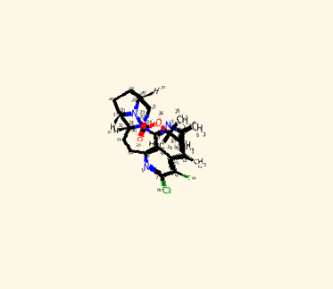 Cc1nc2c3c(nc(Cl)c(F)c3c1C)CC[C@@H]1[C@@H]3CC[C@H](CN21)N3C(=O)OC(C)(C)C